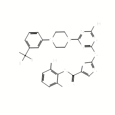 Cc1nc(Nc2ncc(C(=O)Nc3c(C)cccc3Cl)s2)nc(N2CCN(c3cccc(C(F)(F)F)c3)CC2)n1